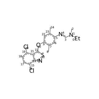 CCN(C)C=Nc1cc(C)c(Oc2snc3c(Cl)ccc(Cl)c23)cc1C